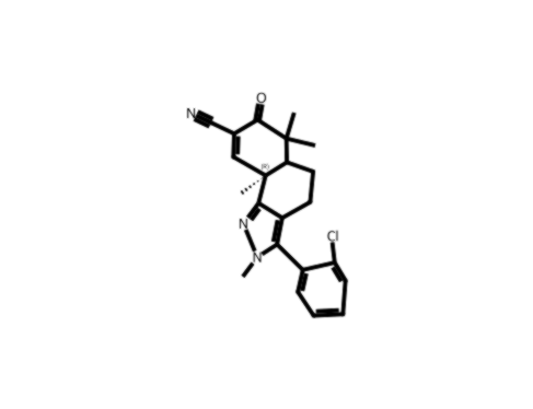 Cn1nc2c(c1-c1ccccc1Cl)CCC1C(C)(C)C(=O)C(C#N)=C[C@]21C